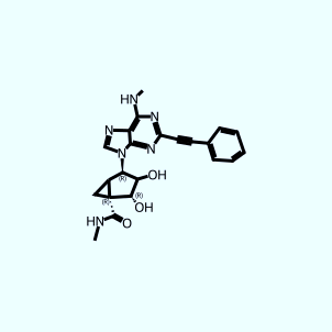 CNC(=O)[C@]12CC1[C@@H](n1cnc3c(NC)nc(C#Cc4ccccc4)nc31)C(O)[C@@H]2O